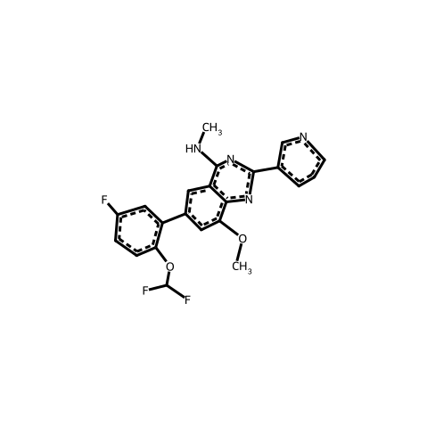 CNc1nc(-c2cccnc2)nc2c(OC)cc(-c3cc(F)ccc3OC(F)F)cc12